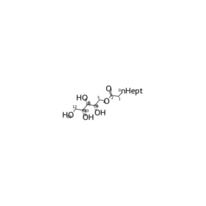 CCCCCCCCC(=O)OC[C@H](O)[C@@H](O)[C@H](O)CO